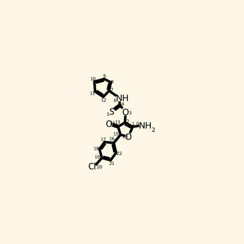 NC1=C(OC(=S)Nc2ccccc2)C(=O)C(c2ccc(Cl)cc2)O1